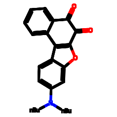 CCCCN(CCCC)c1ccc2c3c(oc2c1)C(=O)C(=O)c1ccccc1-3